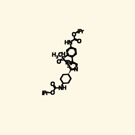 CC(C)OC(=O)Nc1ccc(-c2cnc([C@H]3CC[C@H](NC(=O)OC(C)C)CC3)s2)c([SH](C)(=O)C(C)C)c1